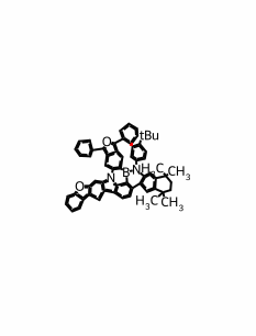 CC(C)(C)c1ccc(N2B3c4cc5c(-c6ccccc6)oc(-c6ccccc6)c5cc4-n4c5cc6oc7ccccc7c6cc5c5ccc(c3c54)-c3cc4c(cc32)C(C)(C)CCC4(C)C)cc1